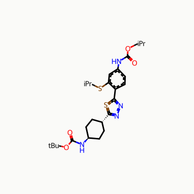 CC(C)OC(=O)Nc1ccc(-c2nnc([C@H]3CC[C@H](NC(=O)OC(C)(C)C)CC3)s2)c(SC(C)C)c1